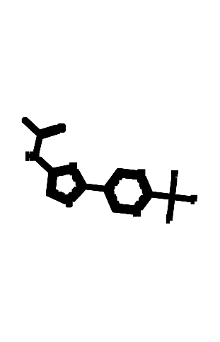 CC(=O)Nc1csc(-c2cnc(C(F)(F)F)nc2)n1